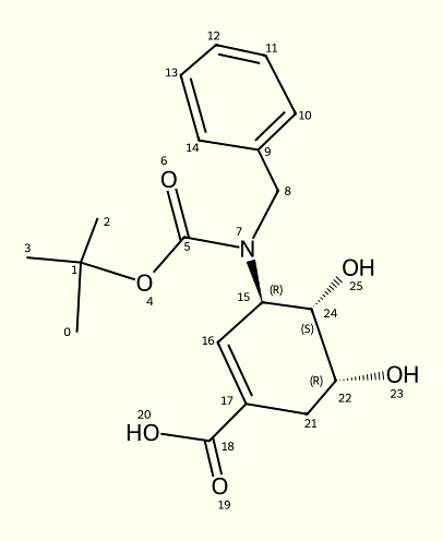 CC(C)(C)OC(=O)N(Cc1ccccc1)[C@@H]1C=C(C(=O)O)C[C@@H](O)[C@H]1O